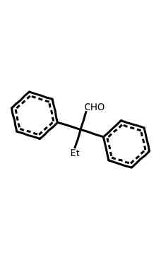 CCC(C=O)(c1ccccc1)c1ccccc1